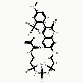 C=C(C)C(=O)OCCC(F)(F)OC(F)(F)OC(F)(F)CCOc1ccc2cc(-c3ccc(OC)cc3C(F)(F)F)c(=O)oc2c1